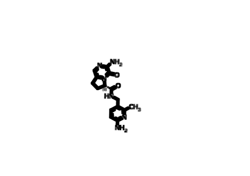 Cc1nc(N)ccc1CNC(=O)[C@@H]1CCc2cnc(N)c(=O)n21